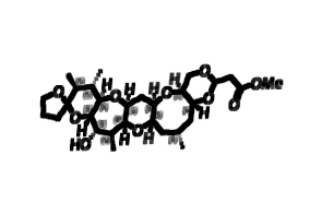 COC(=O)CC1OC[C@@H]2O[C@@H]3C[C@@H]4O[C@@H]5[C@@H](C)[C@H](C)C6(CCCO6)O[C@H]5[C@@H](O)[C@H](C)[C@H]4O[C@H]3C[C@@H](C)C[C@H]2O1